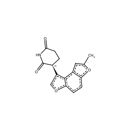 Cc1cc2c(ccc3occ([C@@H]4CCC(=O)NC4=O)c32)o1